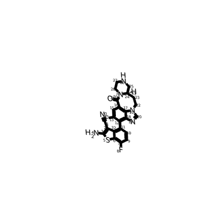 N#Cc1c(N)sc2c(F)ccc(-c3c(F)cc4c5c3ncn5CC[C@@H]3CNCCN3C4=O)c12